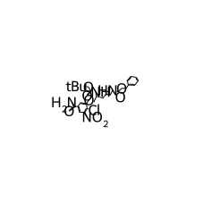 CC(C)(C)OC(=O)N[C@@H](CCCNC(=O)OCc1ccccc1)COc1cc(C(N)=O)cc([N+](=O)[O-])c1Cl